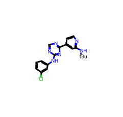 CC(C)(C)Nc1cc(-c2ncnc(Nc3cccc(Cl)c3)n2)ccn1